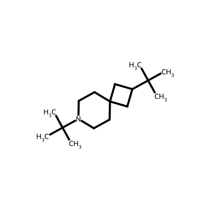 CC(C)(C)C1CC2(CCN(C(C)(C)C)CC2)C1